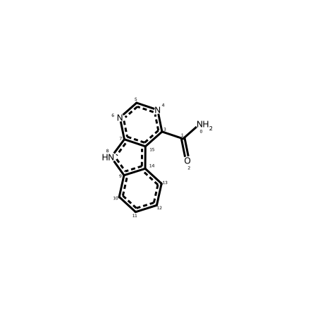 NC(=O)c1ncnc2[nH]c3ccccc3c12